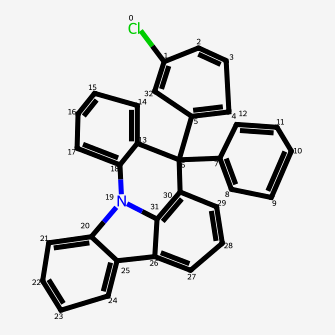 Clc1cccc(C2(c3ccccc3)c3ccccc3-n3c4ccccc4c4cccc2c43)c1